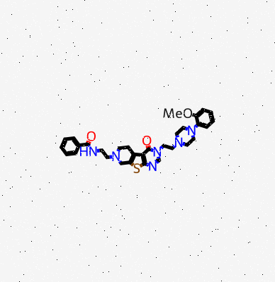 COc1ccccc1N1CCN(CCn2cnc3sc4c(c3c2=O)CCN(CCNC(=O)c2ccccc2)C4)CC1